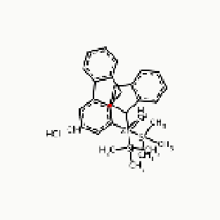 C[Si](C)(C)[Zr](=[SiH2])([c]1cccc2c1Cc1ccccc1-2)([CH]1C=Cc2ccccc21)[Si](C)(C)C.Cl.Cl